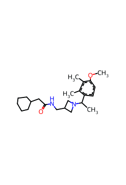 COc1ccc(C(C)N2CC(CNC(=O)CC3CCCCC3)C2)c(C)c1C